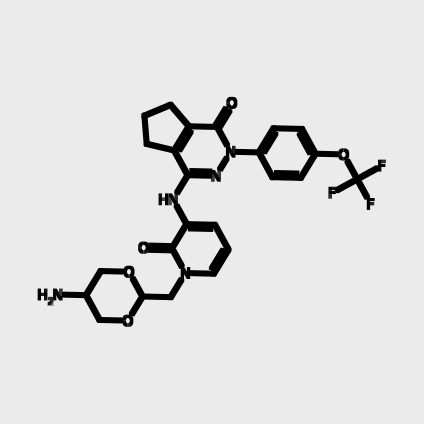 NC1COC(Cn2cccc(Nc3nn(-c4ccc(OC(F)(F)F)cc4)c(=O)c4c3CCC4)c2=O)OC1